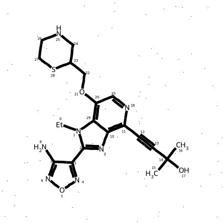 CCn1c(-c2nonc2N)nc2c(C#CC(C)(C)O)ncc(OCC3CNCCS3)c21